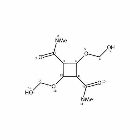 CNC(=O)C1C(OCO)C(C(=O)NC)C1OCO